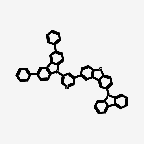 c1ccc(-c2ccc3c(c2)c2cc(-c4ccccc4)ccc2n3-c2cncc(-c3ccc4sc5ccc(-n6c7ccccc7c7ccccc76)cc5c4c3)c2)cc1